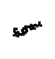 C[SiH](C)OCc1nc(Nc2nnc(Nc3n[nH]c(CO)n3)nn2)n[nH]1